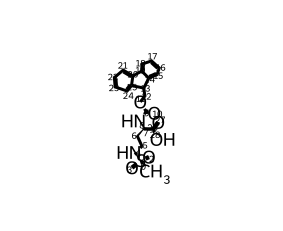 CS(=O)(=O)NCC[C@@H](NC(=O)OCC1c2ccccc2-c2ccccc21)C(=O)O